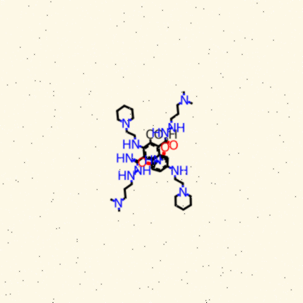 CN(C)CCCNNC(=N)c1c(NCCN2CCCCC2)c(C(=O)O)c(C(=O)NNCCCN(C)C)c2c3c(NCCN4CCCCC4)cc(c(=O)[nH]c3=O)c12